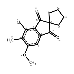 COc1cc2c(c(Cl)c1C)C(=O)C1(CCCC1)C2=O